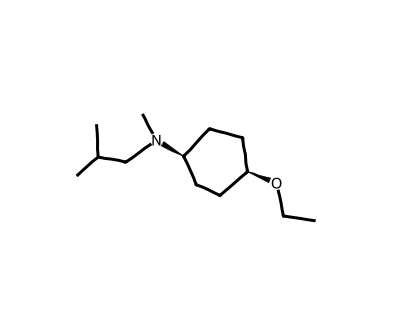 CCO[C@H]1CC[C@@H](N(C)CC(C)C)CC1